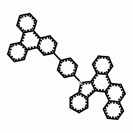 c1ccc2c(c1)ccc1c3ccccc3c3c(c4ccccc4n3-c3ccc(-c4ccc5c6ccccc6c6ccccc6c5c4)cc3)c21